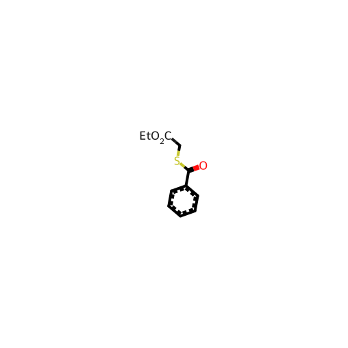 CCOC(=O)CSC(=O)c1ccccc1